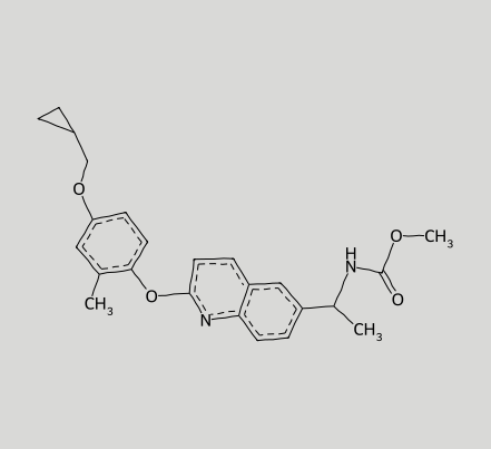 COC(=O)NC(C)c1ccc2nc(Oc3ccc(OCC4CC4)cc3C)ccc2c1